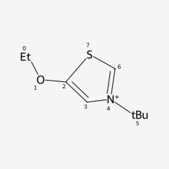 CCOc1c[n+](C(C)(C)C)cs1